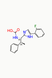 C[C@@H](c1ccccc1)[C@H](NC(=O)O)c1ncc(-c2ccccc2F)[nH]1